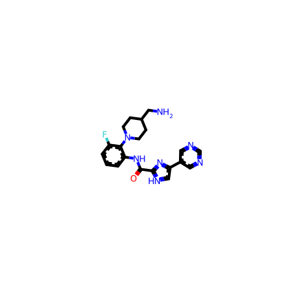 NCC1CCN(c2c(F)cccc2NC(=O)c2nc(-c3cncnc3)c[nH]2)CC1